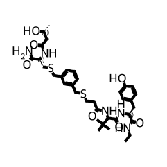 CCNC(=O)[C@H](Cc1ccc(O)cc1)NC(=O)C(NC(=O)CCSCc1cccc(CSC[C@@H](NC(=O)C[C@@H](C)O)C(N)=O)c1)C(C)(C)C